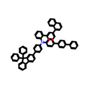 c1ccc(-c2ccc(-c3ccc(N(c4ccc(-c5ccc6c(c5)C(c5ccccc5)(c5ccccc5)c5ccccc5-6)cc4)c4ccccc4-c4cccc(-c5cccc6ccccc56)c4)cc3)cc2)cc1